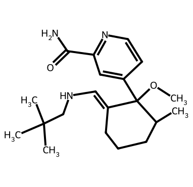 COC1(c2ccnc(C(N)=O)c2)/C(=C/NCC(C)(C)C)CCCC1C